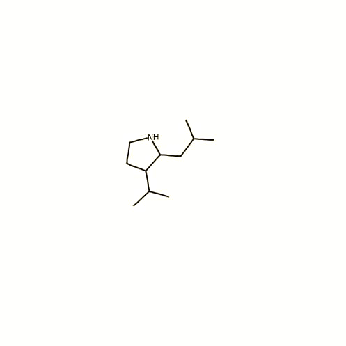 CC(C)CC1NCCC1C(C)C